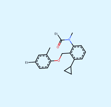 CCC(=O)N(C)c1cccc(C2CC2)c1COc1ccc(CC)cc1C